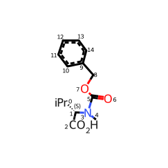 CC(C)[C@@H](C(=O)O)N(C)C(=O)OCc1ccccc1